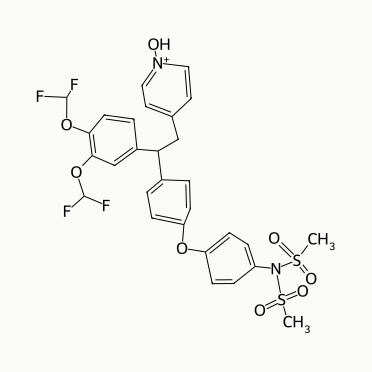 CS(=O)(=O)N(c1ccc(Oc2ccc(C(Cc3cc[n+](O)cc3)c3ccc(OC(F)F)c(OC(F)F)c3)cc2)cc1)S(C)(=O)=O